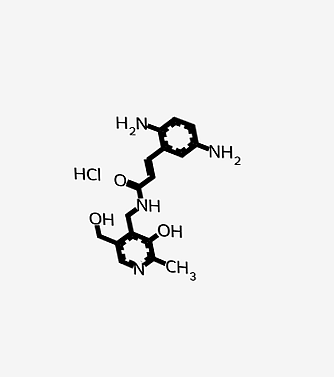 Cc1ncc(CO)c(CNC(=O)C=Cc2cc(N)ccc2N)c1O.Cl